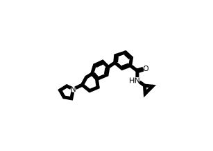 O=C(NC1CC1)c1cccc(-c2ccc3c(c2)CCC(N2CCCC2)C3)c1